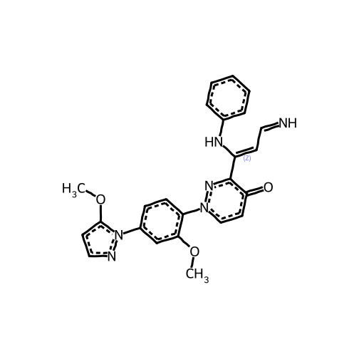 COc1cc(-n2nccc2OC)ccc1-n1ccc(=O)c(/C(=C/C=N)Nc2ccccc2)n1